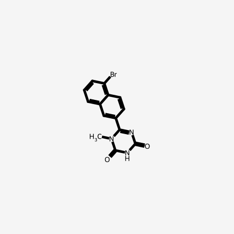 Cn1c(-c2ccc3c(Br)cccc3c2)nc(=O)[nH]c1=O